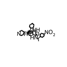 CC(NC(=O)C1=C2Nc3ccccc3C23NCN(c2ccncc2)[C@@H]3C=C1)c1ccc([N+](=O)[O-])cc1